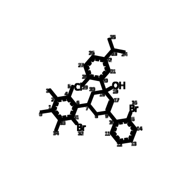 Cc1c(C)c(C)c(C2CC(c3ccccc3Br)=CC(O)(c3cc(C(C)C)ccc3Cl)C2)c(Br)c1C